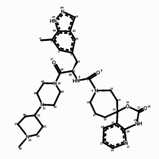 Cc1cc(C[C@@H](NC(=O)N2CCCC3(CC2)OC(=O)Nc2ncccc23)C(=O)N2CCN(C3CCN(C)CC3)CC2)cc2cn[nH]c12